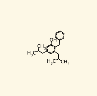 CC(C)Cc1cc(O)c(Cc2ccccc2)c(CC(C)C)c1